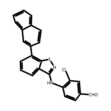 O=Cc1ccc(Nc2nsc3c(-c4ccc5ccccc5c4)cccc23)c(Cl)c1